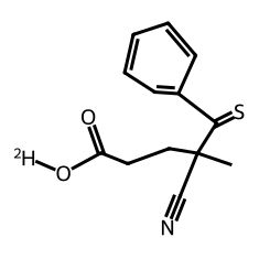 [2H]OC(=O)CCC(C)(C#N)C(=S)c1ccccc1